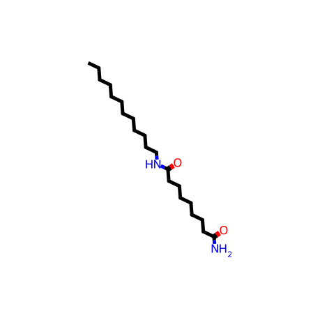 CCCCCCCCCCCCNC(=O)CCCCCCCC(N)=O